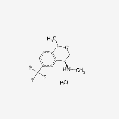 CN[C@@H]1COC(C)c2ccc(C(F)(F)F)cc21.Cl